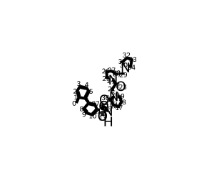 Cc1ccccc1-c1cccc(S(=O)(=O)N[C@H]2CCCN(CC(=O)N3CCC[C@H]3CN3CCCC3)C2=O)c1